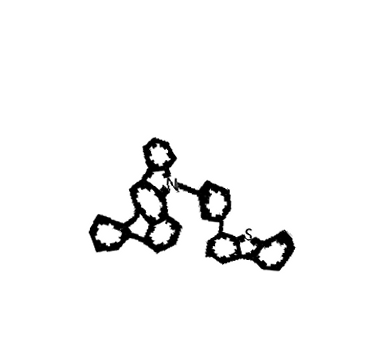 c1cc(-c2cccc3c2sc2ccccc23)cc(-n2c3ccccc3c3cc4c5c(cccc5c32)-c2ccccc2-4)c1